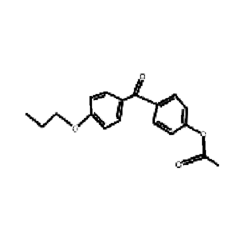 CCCOc1ccc(C(=O)c2ccc(OC(C)=O)cc2)cc1